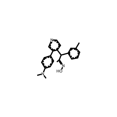 CC(=NO)C(c1cccc(C)c1)c1ccncc1-c1ccc(N(C)C)cc1